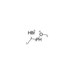 Br.CCPOC